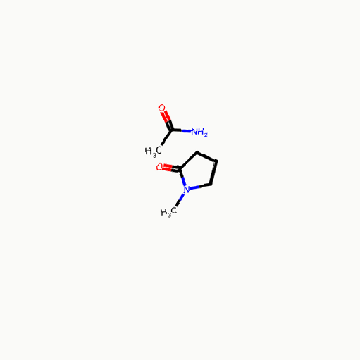 CC(N)=O.CN1CCCC1=O